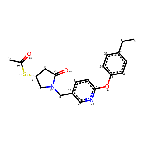 CCc1ccc(Oc2ccc(CN3C[C@H](SC(C)=O)CC3=O)cn2)cc1